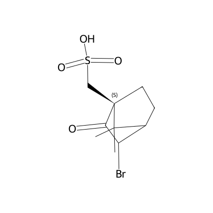 CC1(C)C2CC[C@@]1(CS(=O)(=O)O)C(=O)C2Br